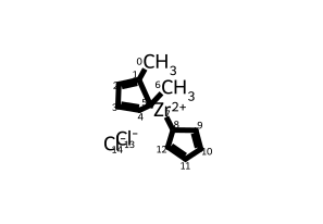 CC1=CC=C[C]1(C)[Zr+2][CH]1C=CC=C1.[Cl-].[Cl-]